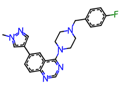 Cn1cc(-c2ccc3ncnc(N4CCN(Cc5ccc(F)cc5)CC4)c3c2)cn1